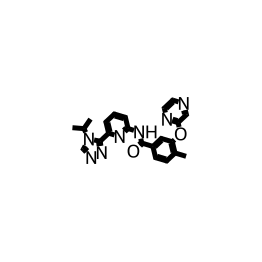 Cc1ccc(C(=O)Nc2cccc(-c3nncn3C(C)C)n2)cc1Oc1cnccn1